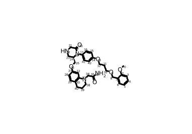 COc1ccccc1COCCCOc1ccc(N2C(=O)CNC[C@@H]2COc2ccc3c(c2)N(CC(N)=O)CCC3)cc1